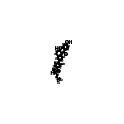 Cc1cc(S(=O)(=O)NCCN(C)C)cnc1-c1ccc2c(c1)CCCN2C(=O)c1ccc(O)cc1O